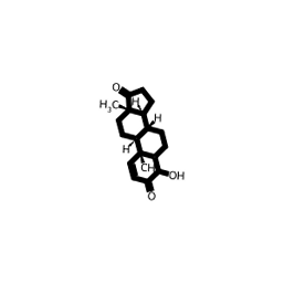 C[C@]12C=CC(=O)C(O)C1CC[C@@H]1[C@@H]2CC[C@]2(C)C(=O)CC[C@@H]12